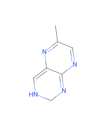 Cc1cnc2c(n1)=CNCN=2